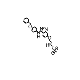 CS(=O)(=O)CCNCCOc1ccc2c(Nc3ccc(OCc4ccccc4)cc3)ncnc2c1